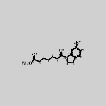 COC(=O)CCCCCC(=O)N1CCc2ccc(Br)cc21